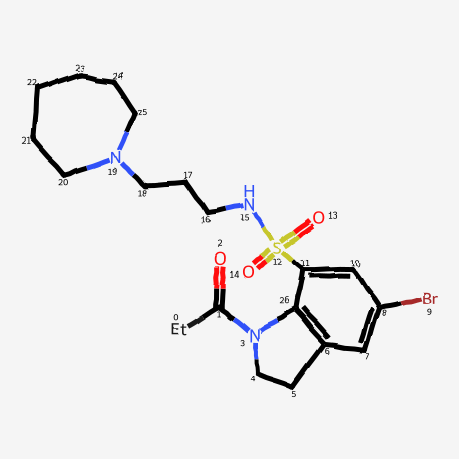 CCC(=O)N1CCc2cc(Br)cc(S(=O)(=O)NCCCN3CCCCCC3)c21